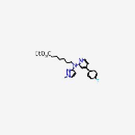 CCOC(=O)CCCCCCN(c1cc(-c2ccc(F)cc2)ccn1)c1ccn(C)n1